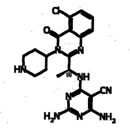 C[C@H](Nc1nc(N)nc(N)c1C#N)c1nc2cccc(Cl)c2c(=O)n1C1CCNCC1